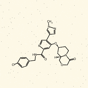 Cn1cc(-c2cnc(C(=O)NCc3ccc(Cl)cc3)cc2O[C@H]2CCN3C(=O)COC[C@@H]3C2)cn1